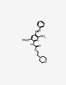 COc1cc(/N=N/c2ccccc2)c(N)nc1NC(=O)OCCN1CCOCC1